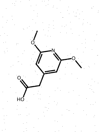 COc1cc(CC(=O)O)cc(OC)n1